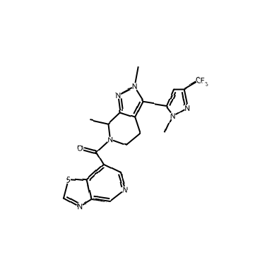 CC1c2nn(C)c(-c3cc(C(F)(F)F)nn3C)c2CCN1C(=O)c1cncc2ncsc12